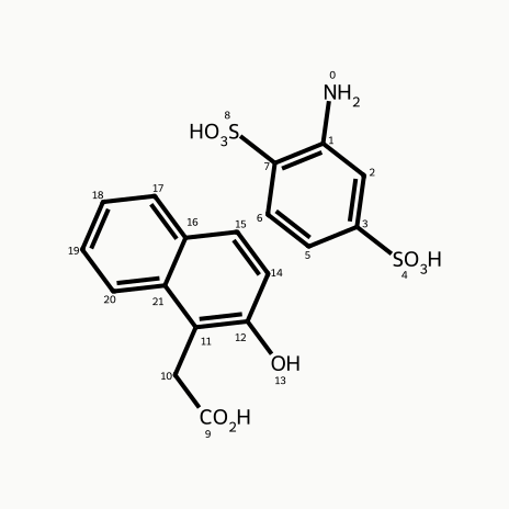 Nc1cc(S(=O)(=O)O)ccc1S(=O)(=O)O.O=C(O)Cc1c(O)ccc2ccccc12